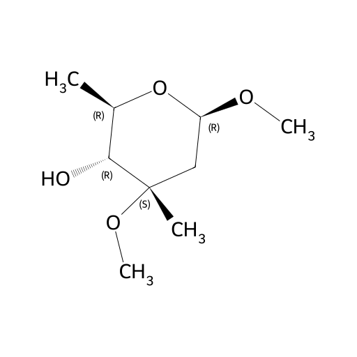 CO[C@H]1C[C@](C)(OC)[C@H](O)[C@@H](C)O1